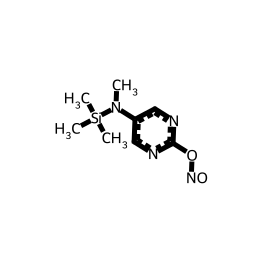 CN(c1cnc(ON=O)nc1)[Si](C)(C)C